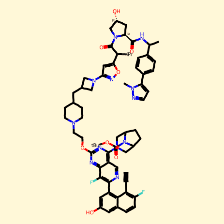 C#Cc1c(F)ccc2cc(O)cc(-c3ncc4c(N5CC6CCC(C5)N6C(=O)OC(C)(C)C)nc(OCCN5CCC(CC6CN(c7cc(C(C(=O)N8C[C@H](O)C[C@H]8C(=O)NC(C)c8ccc(-c9ccnn9C)cc8)C(C)C)on7)C6)CC5)nc4c3F)c12